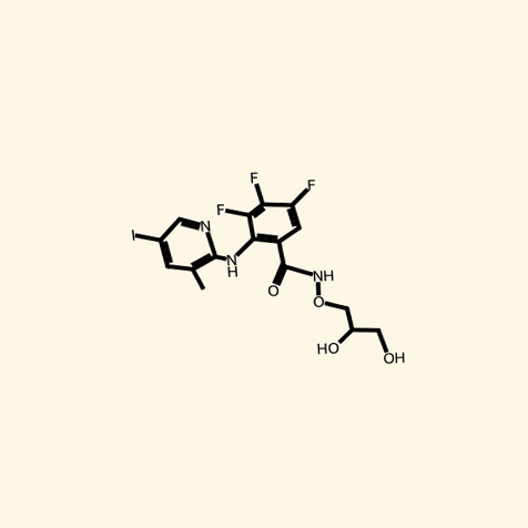 Cc1cc(I)cnc1Nc1c(C(=O)NOCC(O)CO)cc(F)c(F)c1F